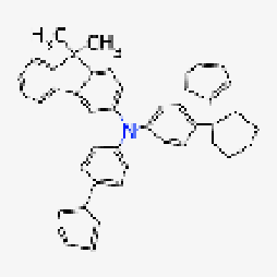 CC1(C)c2ccccc2-c2cc(N(c3ccc(-c4ccccc4)cc3)c3ccc(C4(c5ccccc5)CCCCC4)cc3)ccc21